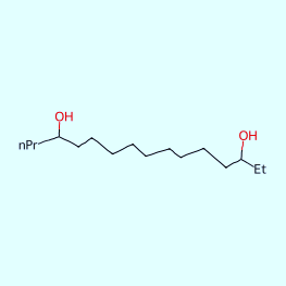 CCCC(O)CCCCCCCCCC(O)CC